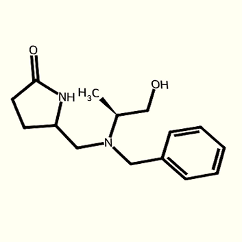 C[C@@H](CO)N(Cc1ccccc1)CC1CCC(=O)N1